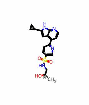 C[C@@H](O)CNS(=O)(=O)c1ccc(-c2ccnc3[nH]c(C4CC4)cc23)nc1